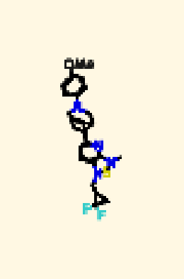 COc1ccc(N2CC3CCC2C=C3c2ccc3c(n2)N(C)SN3CC2CC2(F)F)cc1